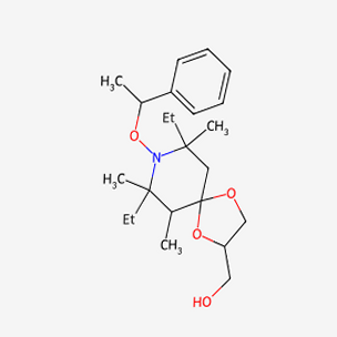 CCC1(C)CC2(OCC(CO)O2)C(C)C(C)(CC)N1OC(C)c1ccccc1